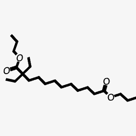 CCCOC(=O)CCCCCCCCCC(CC)(CC)C(=O)OCCC